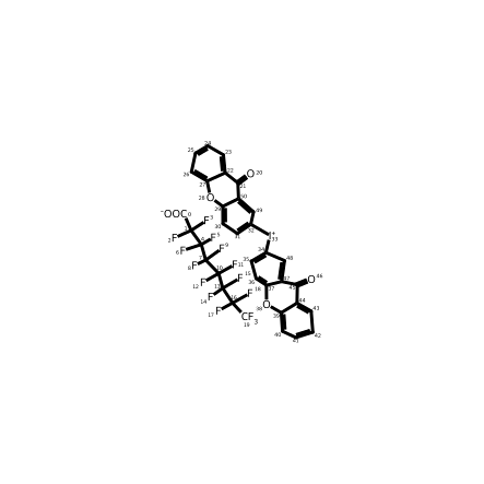 O=C([O-])C(F)(F)C(F)(F)C(F)(F)C(F)(F)C(F)(F)C(F)(F)C(F)(F)F.O=c1c2ccccc2oc2ccc([I+]c3ccc4oc5ccccc5c(=O)c4c3)cc12